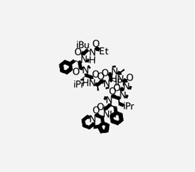 CCC(=O)N[C@H](C(=O)N(C)[C@@H](Cc1ccccc1)C(=O)N(C)[C@@H](CC(C)C)C(=O)N[C@H](C)C(=O)N(C)[C@H](C(=O)N(C)[C@@H](C)NC(=O)N(C)C(=O)N(C)[C@@H](CC(C)C)C(=O)N(C)[C@@H](Cc1ccccc1)C(=O)N[C@H](C(=O)N1CCCCC1)C1C=CC=C1C)C(C)C)[C@@H](C)CC